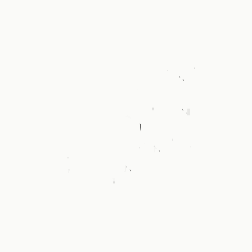 Cc1cc(C)cc(C(=O)N2CCN(C(=O)CNC3CC4CCC(C3)N4C)[C@H](c3ccc(Cl)c(Cl)c3)C2)c1